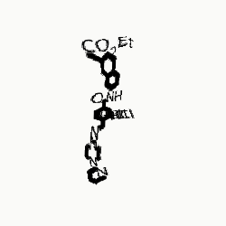 CCOC(=O)CC1CCc2ccc(NC(=O)c3ccc(/C=N/N4CCN(c5ccccn5)CC4)cc3)cc2C1.Cl.Cl.Cl